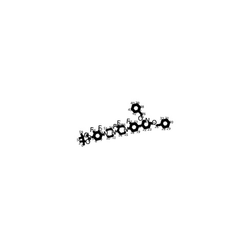 CC1(C)OB(c2ccc(N3CCN([C@@H]4CCN(c5ccc(-c6ccc(OCc7ccccc7)nc6OCc6ccccc6)cc5F)CC4(F)F)CC3)c(F)c2F)OC1(C)C